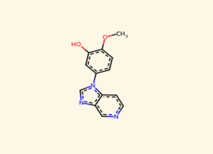 COc1ccc(-n2cnc3cnccc32)cc1O